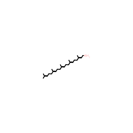 BC/C=C(\C)CC/C=C(\C)CC/C=C(\C)CC/C=C(\C)CCC=C(C)C